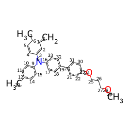 C=C/C=C(\C=C/CC)N(c1ccc(C)cc1)c1ccc(-c2ccc(OCCCOC)cc2)cc1